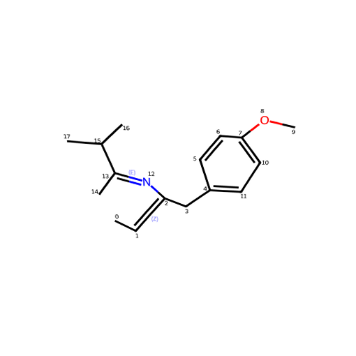 C/C=C(Cc1ccc(OC)cc1)\N=C(/C)C(C)C